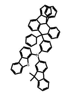 CC1(C)c2ccccc2-c2ccc(N(c3cccc(C4(C5C=CC=CC5)c5ccccc5C5(c6ccccc6)c6ccccc6-c6cccc4c65)c3)c3cccc4c3sc3ccccc34)cc21